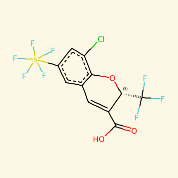 O=C(O)C1=Cc2cc(S(F)(F)(F)(F)F)cc(Cl)c2O[C@@H]1C(F)(F)F